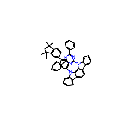 CC1(C)CC(C)(C)c2cc(-c3ccc(-n4c5ccccc5c5ccc6c7ccccc7n(-c7nc(-c8ccccc8)nc(-c8ccccc8)n7)c6c54)cc3)ccc21